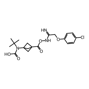 CC(C)(C)N(C(=O)O)C12CC(C(=O)ONC(=N)COc3ccc(Cl)cc3)(C1)C2